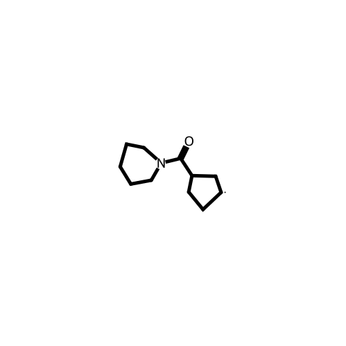 O=C(C1C[CH]CC1)N1CCCCC1